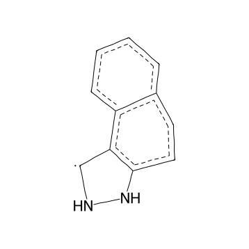 [CH]1NNc2ccc3ccccc3c21